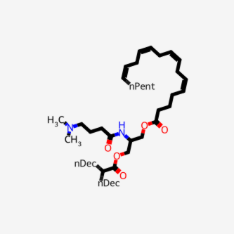 CCCCC/C=C\C/C=C\C/C=C\C/C=C\CCCC(=O)OCC(COC(=O)C(CCCCCCCCCC)CCCCCCCCCC)NC(=O)CCCN(C)C